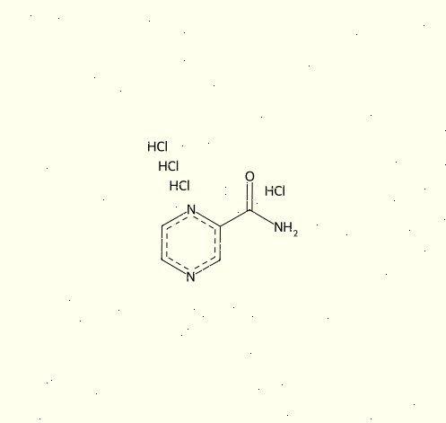 Cl.Cl.Cl.Cl.NC(=O)c1cnccn1